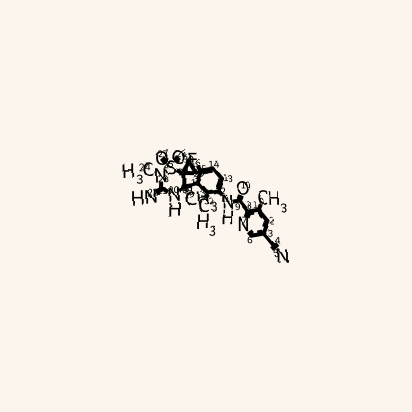 Cc1cc(C#N)cnc1C(=O)NC1=CC=C(F)C([C@@]2(C)NC(=N)N(C)S(=O)(=O)C23CC3)C1C